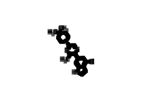 Cc1nc(N2CCC(C)(C)CC2)cnc1-c1cc(Cl)c2cc[nH]c2c1